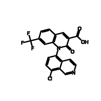 O=C(O)c1cc2ccc(C(F)(F)F)cc2n(-c2ccc(Cl)c3cnccc23)c1=O